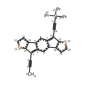 CC#CC1=c2cc3c(cc2-c2ccsc21)=C(C#C[Si](C(C)C)(C(C)C)C(C)C)c1sccc1-3